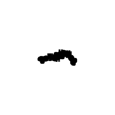 CC(C)(C)OC(=O)N1CCC(c2nnc([C@@H]3CC[C@@H]4CN3C(=O)N4OS(=O)(=O)ON3C(=O)N4C[C@H]3CC[C@H]4c3nnc(C4CCN(C(=O)OC(C)(C)C)CC4)s3)s2)CC1